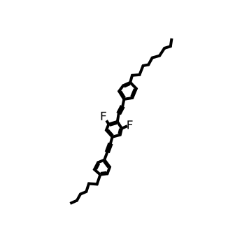 CCCCCCCCCc1ccc(C#Cc2c(F)cc(C#Cc3ccc(CCCCCC)cc3)cc2F)cc1